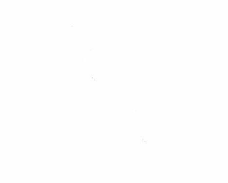 Cn1cccc1C(=O)C=CC1CCN(Cc2ccccc2)CC1